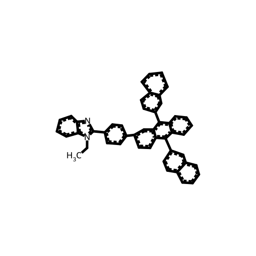 CCn1c(-c2ccc(-c3ccc4c(-c5ccc6ccccc6c5)c5ccccc5c(-c5ccc6ccccc6c5)c4c3)cc2)nc2ccccc21